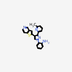 Cc1cccc(-c2nn(-c3ccccc3N)cc2-c2cc3cnccc3s2)n1